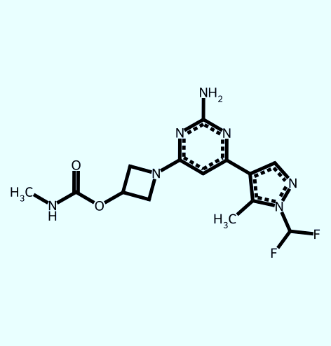 CNC(=O)OC1CN(c2cc(-c3cnn(C(F)F)c3C)nc(N)n2)C1